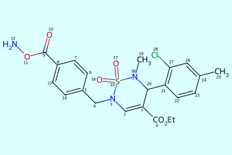 CCOC(=O)C1=CN(Cc2ccc(C(=O)ON)cc2)S(=O)(=O)N(C)C1c1ccc(C)cc1Cl